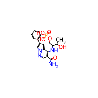 CC(O)C(COP(=O)(O)O)Nc1c(C(N)=O)cnn2cc(-c3ccccc3)cc12